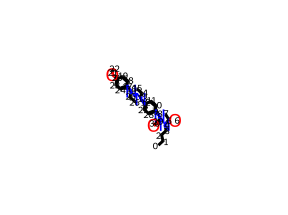 CCCCN1C(=O)CN(c2ccc(N3CCN(c4ccc(OC)cc4)CC3)cc2)C1=O